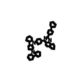 c1ccc(-c2ccc(-c3nc(-c4ccc(-n5c6ccccc6c6ccc(-n7c8ccccc8c8ccccc87)cc65)cc4)c4ccc5ccccc5c4n3)cc2)cc1